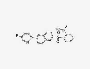 C[C@H](O)c1ccccc1S(=O)(=O)c1ccc2cc(-c3ccc(F)cn3)ccc2c1